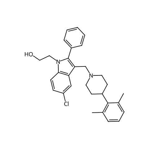 Cc1cccc(C)c1C1CCN(Cc2c(-c3ccccc3)n(CCO)c3ccc(Cl)cc23)CC1